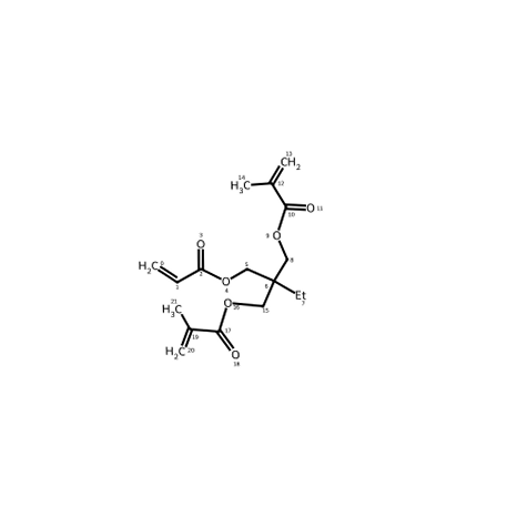 C=CC(=O)OCC(CC)(COC(=O)C(=C)C)COC(=O)C(=C)C